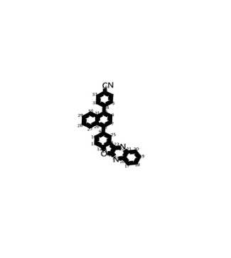 N#Cc1ccc(-c2ccc(-c3ccc4oc5nc6ccccc6nc5c4c3)c3ccccc23)cc1